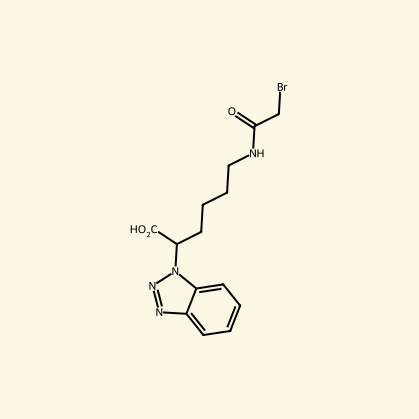 O=C(CBr)NCCCCC(C(=O)O)n1nnc2ccccc21